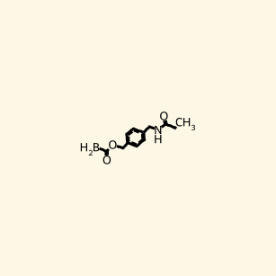 BC(=O)OCc1ccc(CNC(=O)CC)cc1